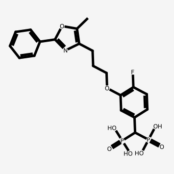 Cc1oc(-c2ccccc2)nc1CCCOc1cc(C(P(=O)(O)O)P(=O)(O)O)ccc1F